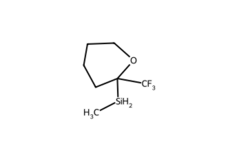 C[SiH2]C1(C(F)(F)F)CCCCO1